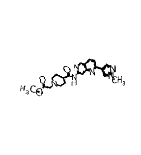 COC(=O)CN1CCC(C(=O)Nc2cc3nc(-c4cnn(C)c4)ccc3cn2)CC1